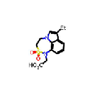 CCc1cn2c3c(cccc13)N(CC(=O)O)S(=O)(=O)CC2